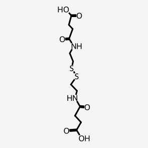 O=C(O)CCC(=O)NCCSSCCNC(=O)CCC(=O)O